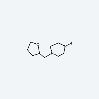 IN1CCN(CC2CCCO2)CC1